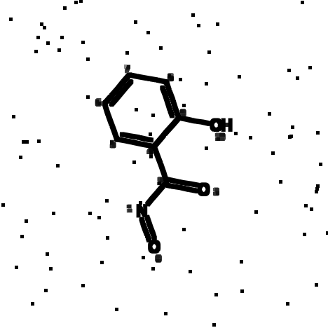 O=NC(=O)c1ccccc1O